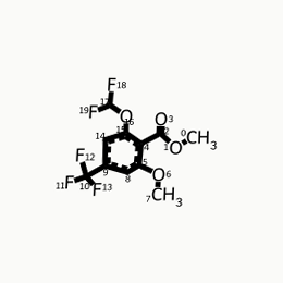 COC(=O)c1c(OC)cc(C(F)(F)F)cc1OC(F)F